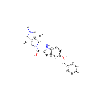 CN1C[C@@H]2CN(C(=O)c3cc4cc(OCc5ccccc5)ccc4[nH]3)C[C@@H]2C1